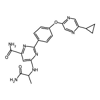 CC(Nc1cc(C(N)=O)nc(-c2ccc(Oc3cnc(C4CC4)cn3)cc2)n1)C(N)=O